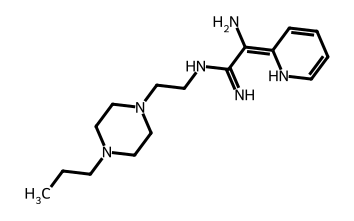 CCCN1CCN(CCNC(=N)/C(N)=C2/C=CC=CN2)CC1